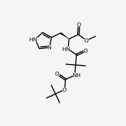 COC(=O)[C@H](Cc1c[nH]cn1)NC(=O)C(C)(C)NC(=O)OC(C)(C)C